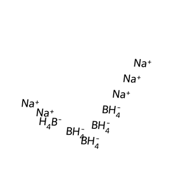 [BH4-].[BH4-].[BH4-].[BH4-].[BH4-].[Na+].[Na+].[Na+].[Na+].[Na+]